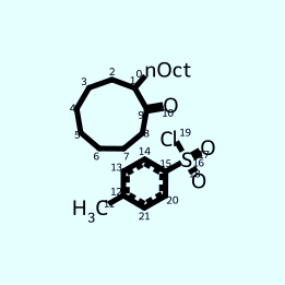 CCCCCCCCC1CCCCCCCC1=O.Cc1ccc(S(=O)(=O)Cl)cc1